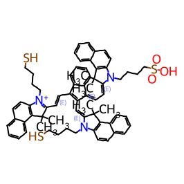 CC1(C)C(/C=C/C2=C(/C=C3/N(CCCCS)c4ccc5ccccc5c4C3(C)C)C(=C/C=C3/N(CCCCS(=O)(=O)O)c4ccc5ccccc5c4C3(C)C)/c3ccccc32)=[N+](CCCCS)c2ccc3ccccc3c21